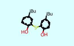 CCC(C)c1ccc(O)c(Sc2cc(C(C)CC)ccc2O)c1